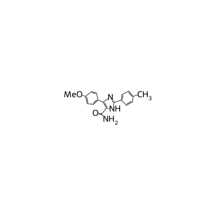 COc1ccc(-c2nc(-c3ccc(C)cc3)[nH]c2C(N)=O)cc1